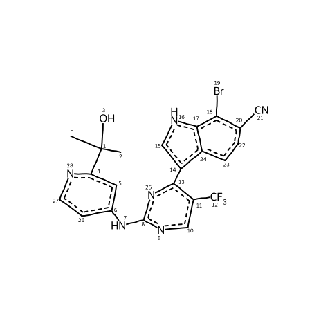 CC(C)(O)c1cc(Nc2ncc(C(F)(F)F)c(-c3c[nH]c4c(Br)c(C#N)ccc34)n2)ccn1